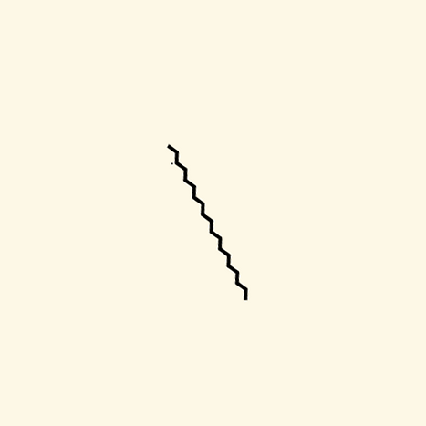 CC[CH]CCCCCCCCCCCCCCCC